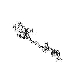 Cc1ncsc1-c1ccc(N(C)C(=O)[C@@H]2C[C@@H](O)CN2C(=O)[C@@H](NC(=O)COCCOCCOCCOCCNC(=O)c2cc3cc(N4CCC(O)(C(=O)NCc5cc(F)cc(F)c5)C4=O)ccc3[nH]2)C(C)(C)C)cc1